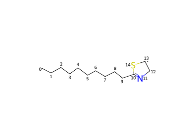 CCCCCCCCCCC1=NC[CH]S1